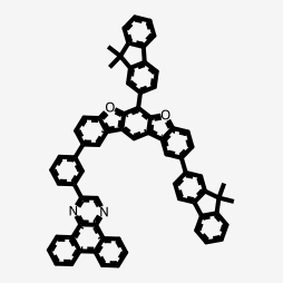 CC1(C)c2ccccc2-c2ccc(-c3ccc4oc5c(-c6ccc7c(c6)C(C)(C)c6ccccc6-7)c6oc7ccc(-c8cccc(-c9cnc%10c%11ccccc%11c%11ccccc%11c%10n9)c8)cc7c6cc5c4c3)cc21